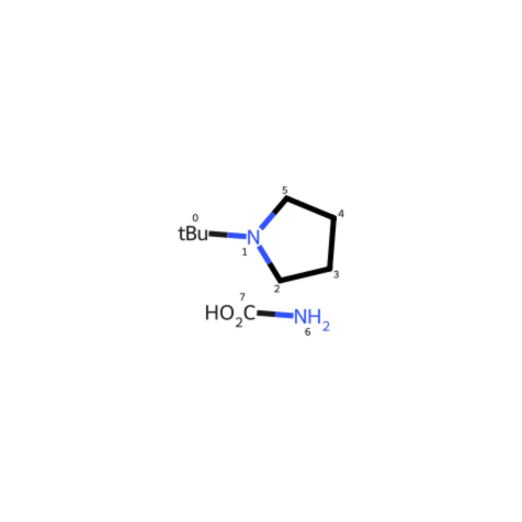 CC(C)(C)N1CCCC1.NC(=O)O